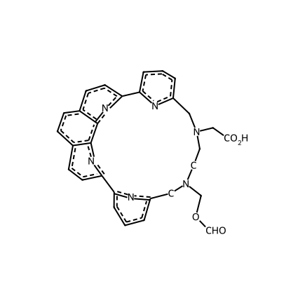 O=COCN1CCN(CC(=O)O)Cc2cccc(n2)-c2ccc3ccc4ccc(nc4c3n2)-c2cccc(n2)C1